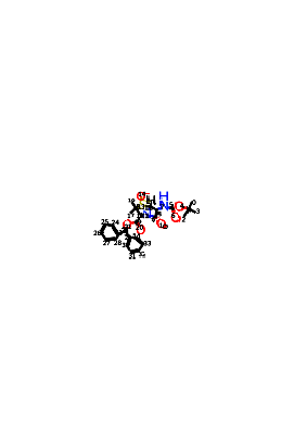 CC(C)(C)OC(=O)NC1C(=O)N2[C@@H]1[S+]([O-])C(C)(C)[C@@H]2C(=O)OC(c1ccccc1)c1ccccc1